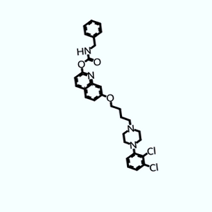 O=C(NCc1ccccc1)Oc1ccc2ccc(OCCCCN3CCN(c4cccc(Cl)c4Cl)CC3)cc2n1